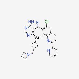 Clc1cc2ccc(-c3ccccn3)nc2cc1-c1n[nH]c2ncnc([AsH]C3CC(CN4CCC4)C3)c12